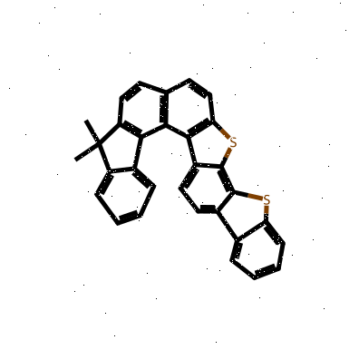 CC1(C)c2ccccc2-c2c1ccc1ccc3sc4c(ccc5c6ccccc6sc54)c3c21